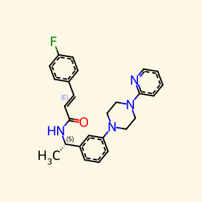 C[C@H](NC(=O)/C=C/c1ccc(F)cc1)c1cccc(N2CCN(c3ccccn3)CC2)c1